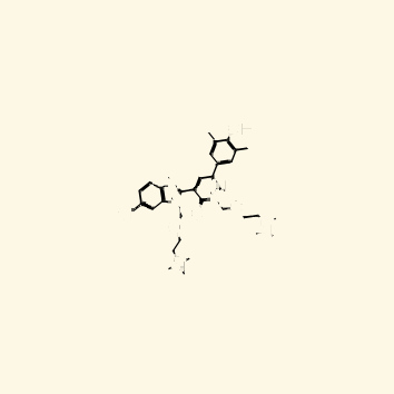 Cc1cc(-c2cc(-c3nc4ccc(Cl)cc4n3COCC[Si](C)(C)C)c(=O)n(COCC[Si](C)(C)C)n2)cc(C)c1O